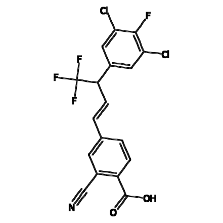 N#Cc1cc(/C=C/C(c2cc(Cl)c(F)c(Cl)c2)C(F)(F)F)ccc1C(=O)O